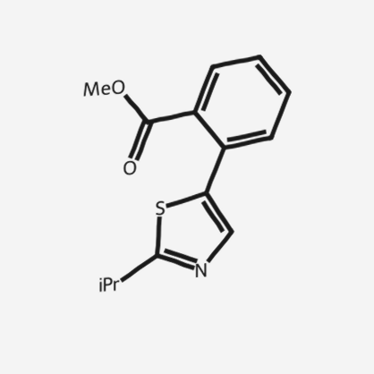 COC(=O)c1ccccc1-c1cnc(C(C)C)s1